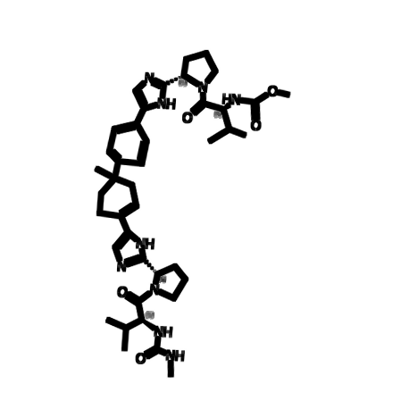 CNC(=O)N[C@H](C(=O)N1CCC[C@H]1c1ncc(C2=CCC(C)(c3ccc(-c4cnc([C@@H]5CCCN5C(=O)[C@@H](NC(=O)OC)C(C)C)[nH]4)cc3)CC2)[nH]1)C(C)C